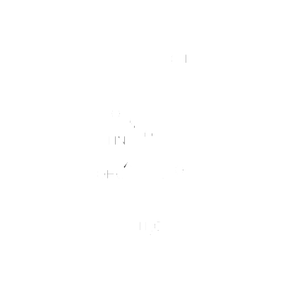 C=CC[C@H]1OCCC1[C@@H](C=O)NS(=O)(=O)c1ccc(C)cc1